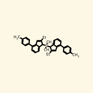 CCC1=Cc2c(-c3ccc(C)cc3)cccc2C1[Si](C)(C)C1C(CC)=Cc2c(-c3ccc(C)cc3)cccc21